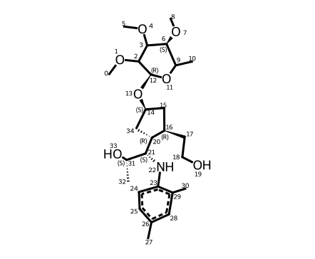 COC1C(OC)[C@@H](OC)C(C)O[C@H]1O[C@H]1C[C@@H](CCO)[C@H]([C@H](Nc2ccc(C)cc2C)[C@H](C)O)C1